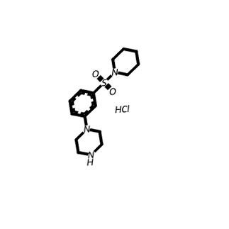 Cl.O=S(=O)(c1cccc(N2CCNCC2)c1)N1CCCCC1